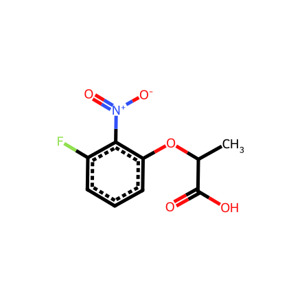 CC(Oc1cccc(F)c1[N+](=O)[O-])C(=O)O